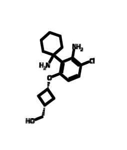 Nc1c(Cl)ccc(O[C@H]2C[C@@H](CO)C2)c1C1(N)CCCCC1